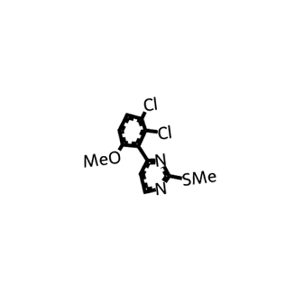 COc1ccc(Cl)c(Cl)c1-c1ccnc(SC)n1